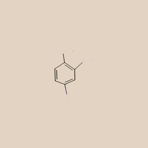 O=C(O)c1cc(I)ccc1S(=O)(=O)O